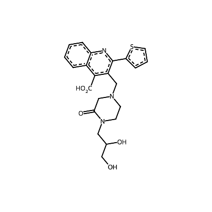 O=C(O)c1c(CN2CCN(CC(O)CO)C(=O)C2)c(-c2cccs2)nc2ccccc12